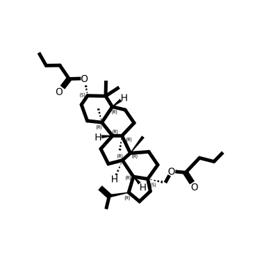 C=C(C)[C@@H]1CC[C@]2(COC(=O)CCC)CC[C@]3(C)[C@H](CC[C@@H]4[C@@]5(C)CC[C@H](OC(=O)CCC)C(C)(C)[C@@H]5CC[C@]43C)[C@@H]12